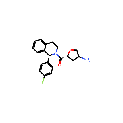 NC1CO[C@@H](C(=O)N2CCc3ccccc3[C@@H]2c2ccc(F)cc2)C1